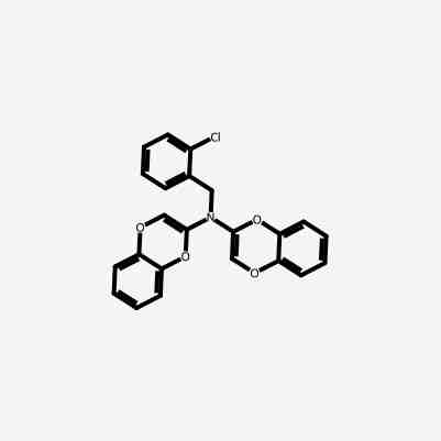 Clc1ccccc1CN(C1=COc2ccccc2O1)C1=COc2ccccc2O1